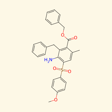 COc1ccc(S(=O)(=O)c2cc(C)c(C(=O)OCc3ccccc3)c(Cc3ccccc3)c2N)cc1